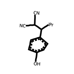 CC(C)C(c1ccc(O)cc1)C(C#N)C#N